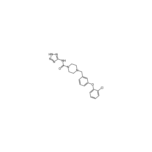 O=C(Nc1nn[nH]n1)N1CCN(Cc2cccc(Oc3ccccc3Cl)c2)CC1